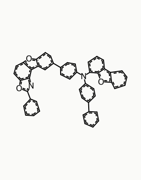 c1ccc(-c2ccc(N(c3ccc(-c4ccc5oc6ccc7oc(-c8ccccc8)nc7c6c5c4)cc3)c3cccc4c3oc3ccccc34)cc2)cc1